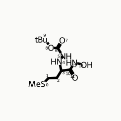 CSCCC(NNC(=O)OC(C)(C)C)C(=O)NO